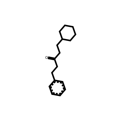 O=C(CCc1ccccc1)CCC1CCCCC1